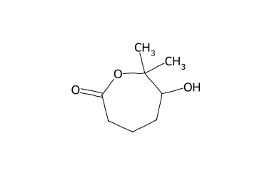 CC1(C)OC(=O)CCCC1O